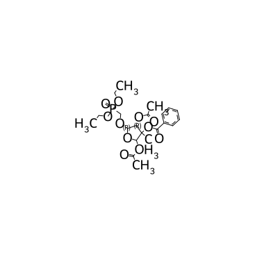 CCOP(=O)(CO[C@H]1OC(OC(C)=O)C(C)(OC(=O)c2ccccc2)[C@H]1OC(C)=O)OCC